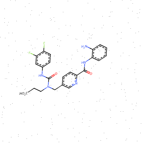 Nc1ccccc1NC(=O)c1ccc(CN(CCC(=O)O)C(=O)Nc2ccc(F)c(F)c2)cn1